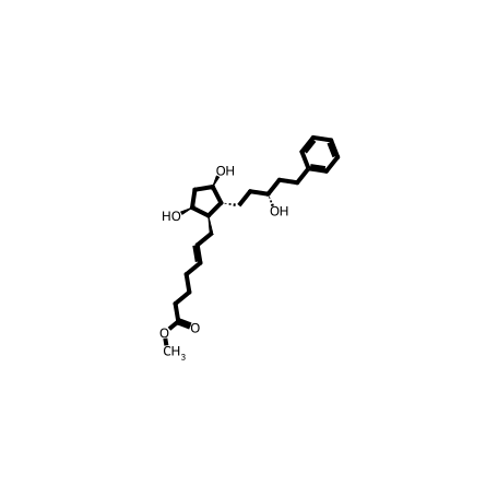 COC(=O)CCC/C=C/C[C@@H]1[C@@H](CC[C@@H](O)CCc2ccccc2)[C@H](O)C[C@@H]1O